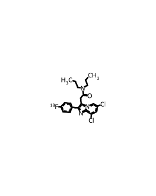 CCCN(CCC)C(=O)Cc1c(-c2ccc([18F])cc2)nc2c(Cl)cc(Cl)cn12